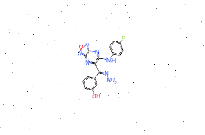 NN=C(c1cccc(O)c1)c1nc2nonc2nc1Nc1ccc(F)cc1